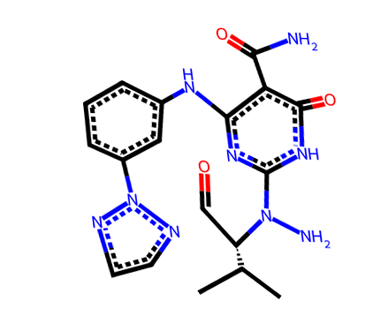 CC(C)[C@H](C=O)N(N)c1nc(Nc2cccc(-n3nccn3)c2)c(C(N)=O)c(=O)[nH]1